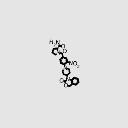 NC(=O)[C@@H]1CCCN1C(=O)c1ccc(N2CCC(N3C(=O)OCc4ccccc43)CC2)c([N+](=O)[O-])c1